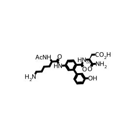 CC(=O)NC(CCCCN)C(=O)Nc1ccc(C(=O)N[C@@H](CC(=O)O)C(N)=O)c(-c2cccc(O)c2)c1